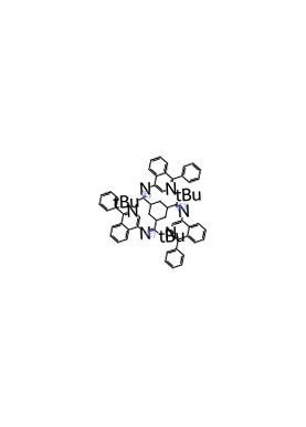 CC(C)(C)/C(=N/c1cnc(-c2ccccc2)c2ccccc12)C1CC(/C(=N\c2cnc(-c3ccccc3)c3ccccc23)C(C)(C)C)CC(/C(=N\c2cnc(-c3ccccc3)c3ccccc23)C(C)(C)C)C1